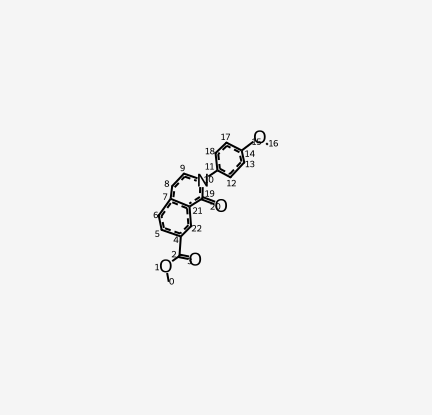 COC(=O)c1ccc2ccn(-c3ccc(OC)cc3)c(=O)c2c1